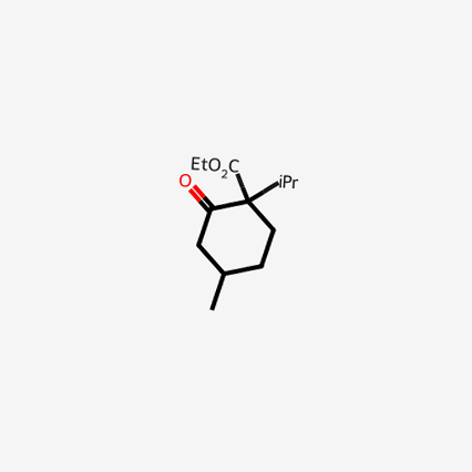 CCOC(=O)C1(C(C)C)CCC(C)CC1=O